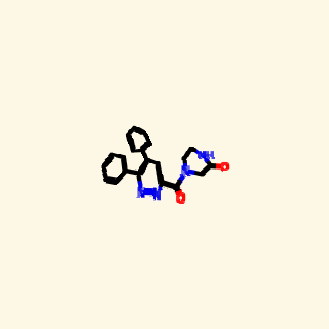 O=C1CN(C(=O)c2cc(-c3ccccc3)c(-c3ccccc3)nn2)CCN1